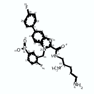 NCCC[C@H](N)CNC(=O)c1nc2cc(-c3ccc(F)cc3)ccc2n1Cc1cc([N+](=O)[O-])ccc1F